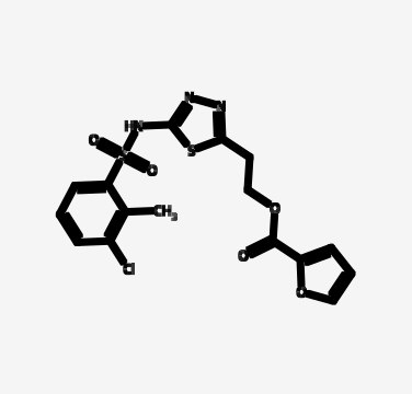 Cc1c(Cl)cccc1S(=O)(=O)Nc1nnc(CCOC(=O)c2ccco2)s1